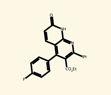 CCOC(=O)c1c(C(C)C)nc2[nH]c(=O)ccc2c1-c1ccc(F)cc1